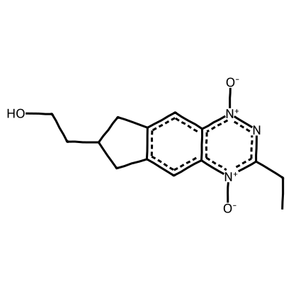 CCc1n[n+]([O-])c2cc3c(cc2[n+]1[O-])CC(CCO)C3